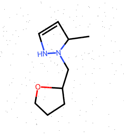 CC1C=CNN1CC1CCCO1